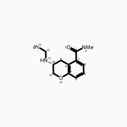 CNC(=O)c1cccc2c1C[C@@H](NCC(C)C)CO2